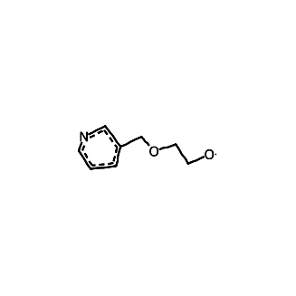 [O]CCOCc1cccnc1